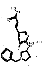 Cl.Cl.O=C(/C=C/c1cnc(N[C@H]2CCN(Cc3ccccc3)C2)c(Cl)c1)NO